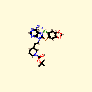 CC(C)(C)OC(=O)N1CCCC(CCn2c(Sc3cc4c(cc3Br)OCO4)nc3c(N)ncnc32)C1